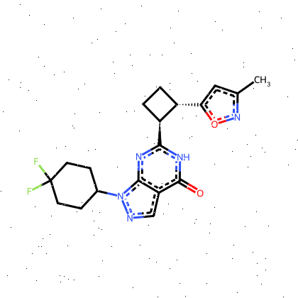 Cc1cc([C@H]2CC[C@@H]2c2nc3c(cnn3C3CCC(F)(F)CC3)c(=O)[nH]2)on1